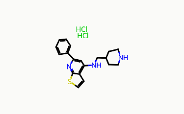 Cl.Cl.c1ccc(-c2cc(NCC3CCNCC3)c3ccsc3n2)cc1